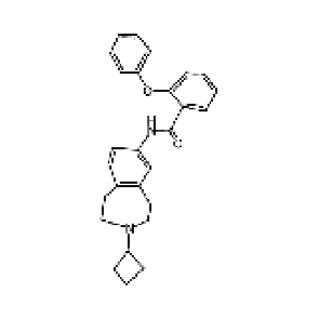 O=C(Nc1ccc2c(c1)CCN(C1CCC1)CC2)c1ccccc1Oc1ccccc1